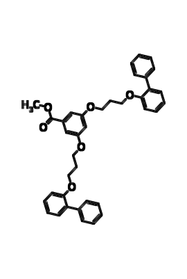 COC(=O)c1cc(OCCCOc2ccccc2-c2ccccc2)cc(OCCCOc2ccccc2-c2ccccc2)c1